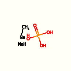 O=P(O)(O)O.[CH3][Na].[NaH]